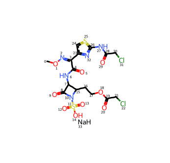 CO/N=C(\C(=O)NC1C(=O)N(S(=O)(=O)O)C1CCOC(=O)CCl)c1csc(NC(=O)CCl)n1.[NaH]